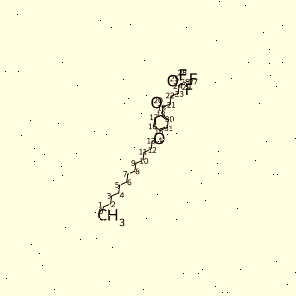 CCCCCCCCCCCCCCOc1ccc(C(=O)CCCC(=O)C(F)(F)F)cc1